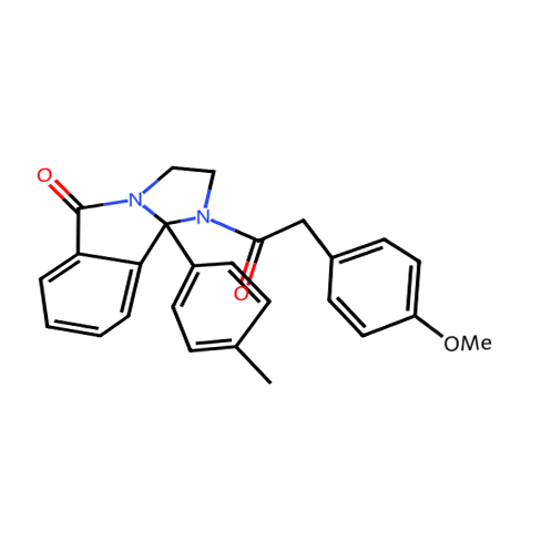 COc1ccc(CC(=O)N2CCN3C(=O)c4ccccc4C23c2ccc(C)cc2)cc1